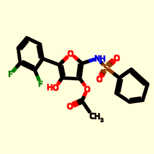 CC(=O)Oc1c(NS(=O)(=O)c2ccccc2)oc(-c2cccc(F)c2F)c1O